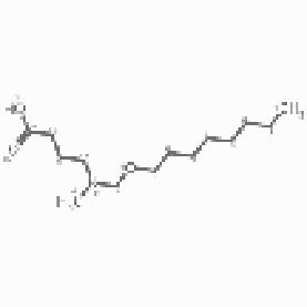 CCCCCCCCOCN(C)CCCC(=O)O